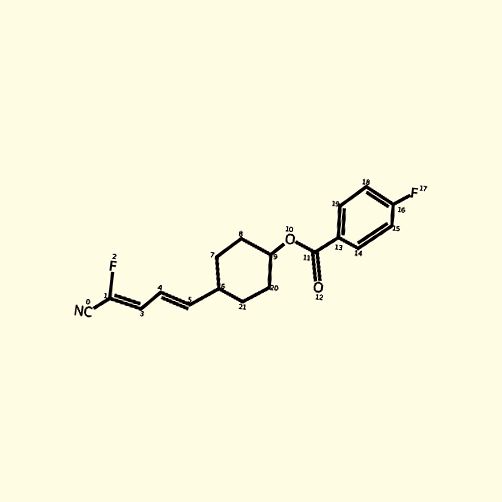 N#CC(F)=C/C=C/C1CCC(OC(=O)c2ccc(F)cc2)CC1